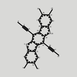 CC#Cc1c2sc3cc(C)c(C)cc3c2c(C#CC)c2sc3cc(C)c(C)cc3c12